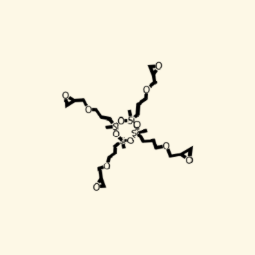 C[Si]1(CCCOCC2CO2)O[Si](C)(CCCOCC2CO2)O[Si](C)(CCCOCC2CO2)O[Si](C)(CCCOCC2CO2)O1